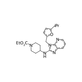 CCOC(=O)N1CCC(Nc2nc3cccnc3n2Cc2ccc(C(C)C)o2)CC1